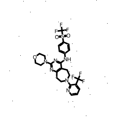 O=S(=O)(c1ccc(Nc2nc(N3CCOCC3)nc3c2CCN(c2ncccc2C(F)(F)F)CC3)cc1)C(F)(F)F